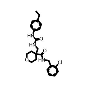 CCc1ccc(NC(=O)NCC2(C(=O)NCc3ccccc3Cl)CCOCC2)cc1